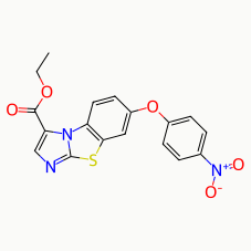 CCOC(=O)c1cnc2sc3cc(Oc4ccc([N+](=O)[O-])cc4)ccc3n12